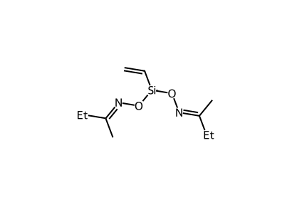 C=C[Si](ON=C(C)CC)ON=C(C)CC